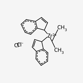 C[CH]1[CH](C)[Zr+2]1([CH]1C=Cc2ccccc21)[CH]1C=Cc2ccccc21.[Cl-].[Cl-]